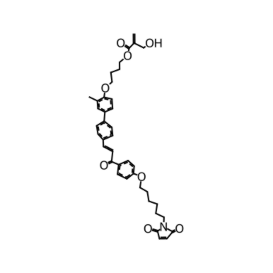 C=C(CO)C(=O)OCCCCOc1ccc(-c2ccc(/C=C/C(=O)c3ccc(OCCCCCCN4C(=O)C=CC4=O)cc3)cc2)cc1C